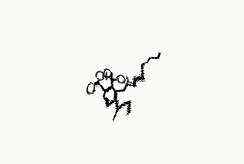 CCCCCCCCCCc1c(C(C)CC)ccc(C(=O)O)c1C(=O)O